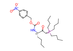 CCCC[C@H](NC(=O)OCc1ccc([N+](=O)[O-])cc1)C(=O)C=P(CCCC)(CCCC)CCCC